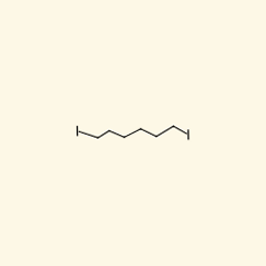 ICCCCCCI